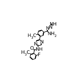 Cc1ccc(/C(N)=N/N=N)cc1-c1cnc(NC(=O)c2c(C)cccc2F)cn1